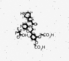 O=C(O)C(F)(F)F.O=C(O)COc1ccc(C(CNC(=O)c2cc3c(s2)CCNC3)Oc2cccnc2)cc1OCC(=O)O